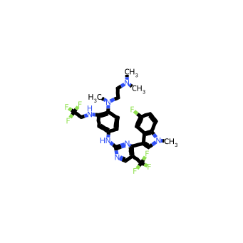 CN(C)CCN(C)c1ccc(Nc2ncc(C(F)(F)F)c(-c3cn(C)c4ccc(F)cc34)n2)cc1NCC(F)(F)F